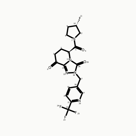 O=C1CC[C@@H](C(=O)N2CC[C@H](F)C2)n2c1nn(Cc1ccc(C(F)(F)F)nc1)c2=O